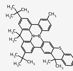 Cc1ccc2c(c1)-c1cc(C(C)(C)C)cc3c1N1B2c2cc4c(cc2-c2cc(C(C)(C)C)cc(c21)C3(C)C)C(C)(C)c1ccccc1S4